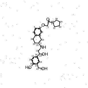 O=C(COc1ccc2c(c1)C[C@@H](NCC(O)c1ccc(O)c(CO)c1)CC2)N1CCCC1